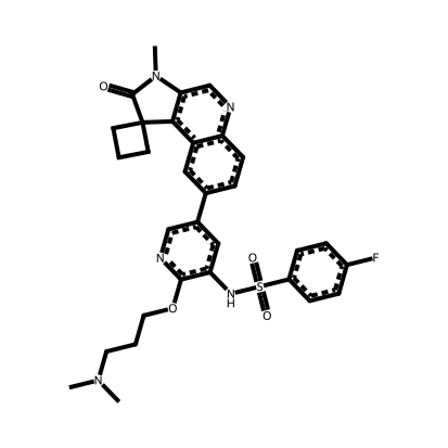 CN(C)CCCOc1ncc(-c2ccc3ncc4c(c3c2)C2(CCC2)C(=O)N4C)cc1NS(=O)(=O)c1ccc(F)cc1